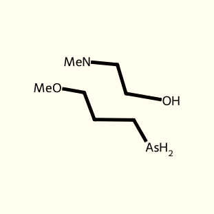 CNCCO.COCCC[AsH2]